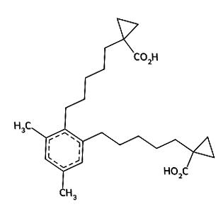 Cc1cc(C)c(CCCCCC2(C(=O)O)CC2)c(CCCCCC2(C(=O)O)CC2)c1